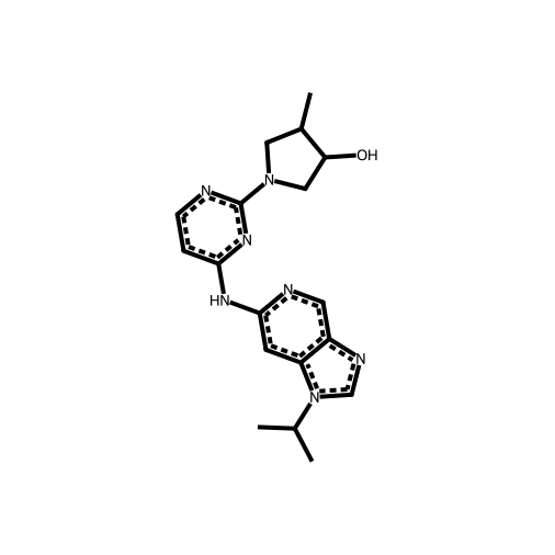 CC1CN(c2nccc(Nc3cc4c(cn3)ncn4C(C)C)n2)CC1O